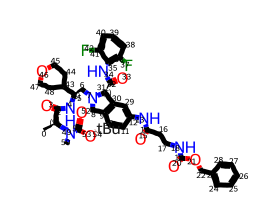 C[C@@H](C(=O)N[C@H](CN1Cc2ccc(NC(=O)CCNC(=O)OCc3ccccc3)cc2[C@H]1C(=O)Nc1c(F)cccc1F)C1CCOCC1)N(C)C(=O)OC(C)(C)C